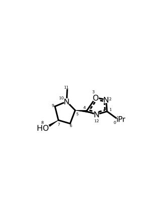 CC(C)c1noc([C@H]2C[C@@H](O)CN2C)n1